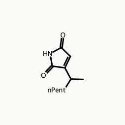 CCCCCC(C)C1=CC(=O)NC1=O